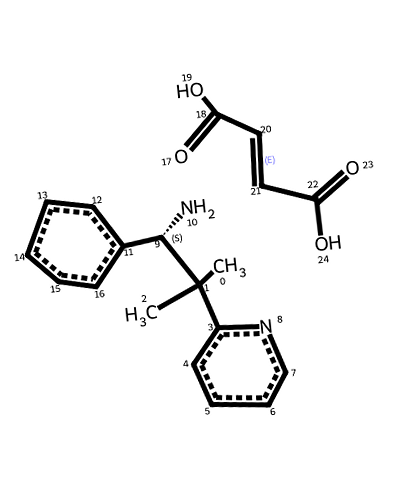 CC(C)(c1ccccn1)[C@@H](N)c1ccccc1.O=C(O)/C=C/C(=O)O